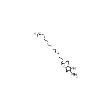 CCCCCCCCCCCCOc1ccc2[nH]c(N)nc2c1